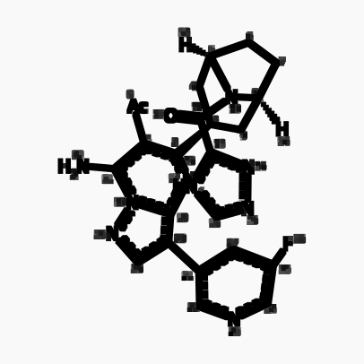 CC(=O)c1c([C@H]2C[C@H]3CC[C@@H](C2)N3C(=O)c2nnc[nH]2)nc2c(-c3cncc(F)c3)cnn2c1N